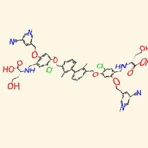 Cc1c(COc2cc(OCc3cncc(C#N)c3)c(CN[C@H](CCO)C(=O)O)cc2Cl)cccc1-c1cccc(COc2cc(OCc3cncc(C#N)c3)c(CN[C@H](CCO)C(=O)O)cc2Cl)c1C